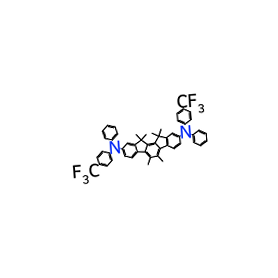 Cc1c(C)c2c(c3c1-c1ccc(N(c4ccccc4)c4ccc(C(F)(F)F)cc4)cc1C3(C)C)C(C)(C)c1cc(N(c3ccccc3)c3ccc(C(F)(F)F)cc3)ccc1-2